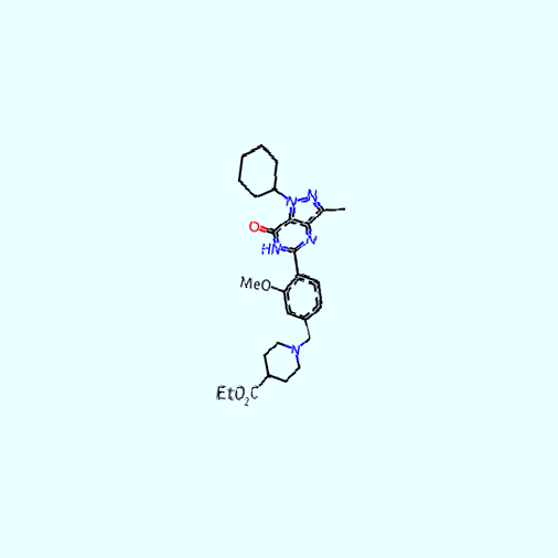 CCOC(=O)C1CCN(Cc2ccc(-c3nc4c(C)nn(C5CCCCC5)c4c(=O)[nH]3)c(OC)c2)CC1